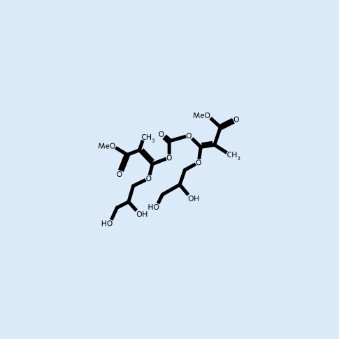 COC(=O)C(C)=C(OCC(O)CO)OC(=O)OC(OCC(O)CO)=C(C)C(=O)OC